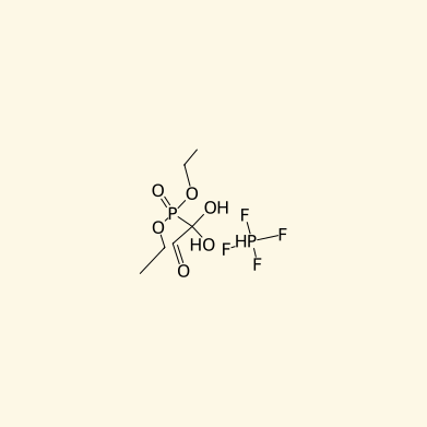 CCOP(=O)(OCC)C(O)(O)C=O.F[PH](F)(F)F